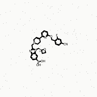 N#Cc1ccc(COc2cccc(C3=CCN(Cc4nc5ccc(B(O)O)cc5n4C[C@@H]4CCO4)CC3)n2)c(F)c1